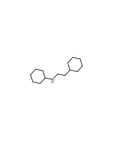 C1CCC(CCNC2CCCCC2)CC1